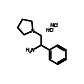 Cl.Cl.NC(CN1CCCC1)c1ccccc1